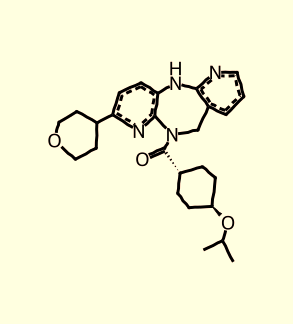 CC(C)O[C@H]1CC[C@H](C(=O)N2Cc3cccnc3Nc3ccc(C4CCOCC4)nc32)CC1